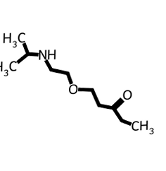 CCC(=O)CCOCCNC(C)C